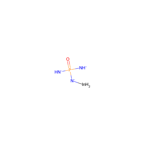 [NH-]P([NH-])(=O)[N-][InH2]